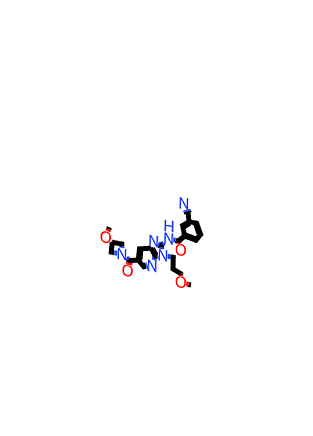 COCCCn1c(NC(=O)c2cccc(C#N)c2)nc2cc(C(=O)N3CC(OC)C3)cnc21